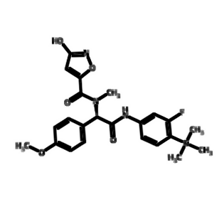 COc1ccc([C@H](C(=O)Nc2ccc([Si](C)(C)C)c(F)c2)N(C)C(=O)c2cc(O)no2)cc1